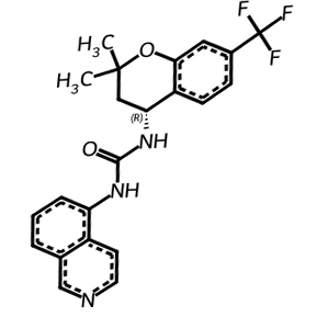 CC1(C)C[C@@H](NC(=O)Nc2cccc3cnccc23)c2ccc(C(F)(F)F)cc2O1